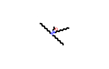 CCCCCCCCCN(CCCCCCCCC)N(CCCCCCCCC)CC(C)=O